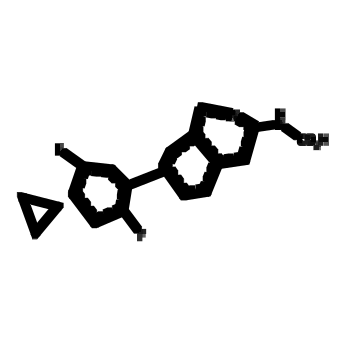 C1CC1.O=C(O)Nc1cc2ccc(-c3cc(F)ccc3F)cc2cn1